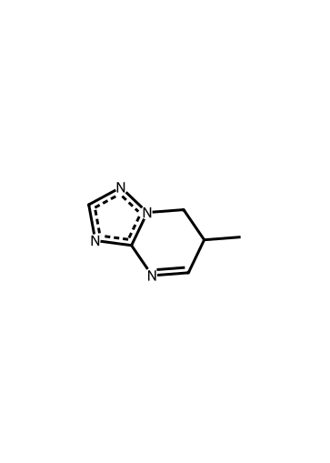 CC1C=Nc2ncnn2C1